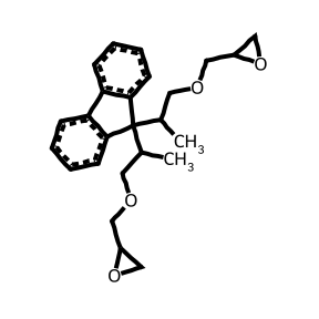 CC(COCC1CO1)C1(C(C)COCC2CO2)c2ccccc2-c2ccccc21